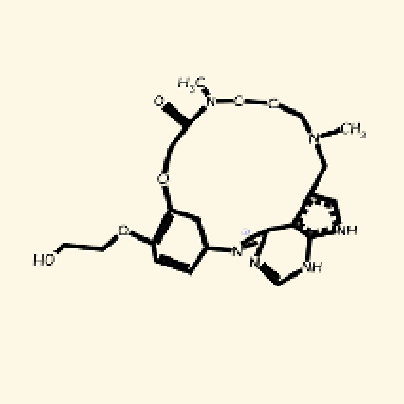 CN1CCCN(C)C(=O)COC2=C(OCCO)C=CC(C2)/N=C2\N=CNc3[nH]cc(c32)C1